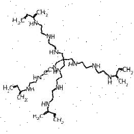 C=CC(=C)NCCNCCNCC(CNCCNCCNC(=C)C=C)(CNCCNCCNC(=C)C=C)CNCCNCCNC(=C)C=C